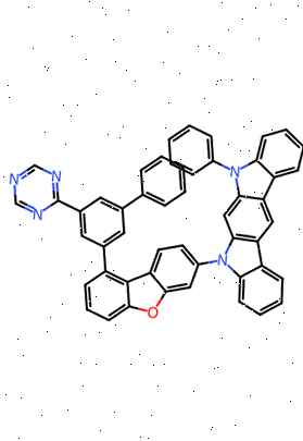 c1ccc(-c2cc(-c3ncncn3)cc(-c3cccc4oc5cc(-n6c7ccccc7c7cc8c9ccccc9n(-c9ccccc9)c8cc76)ccc5c34)c2)cc1